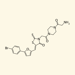 NCC(=O)N1CCN(C(=O)CN2C(=O)C(=Cc3ccc(-c4ccc(Br)cc4)o3)SC2=S)CC1